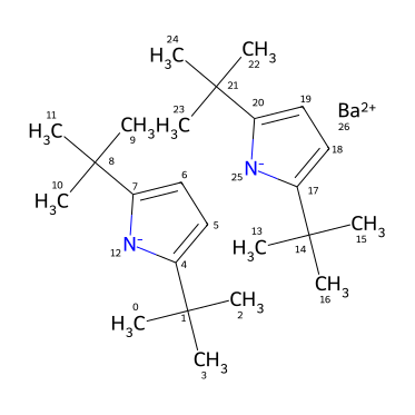 CC(C)(C)c1ccc(C(C)(C)C)[n-]1.CC(C)(C)c1ccc(C(C)(C)C)[n-]1.[Ba+2]